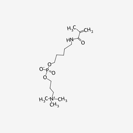 C=C(C)C(=O)NCCCCCOP(=O)([O-])OCCC[N+](C)(C)C